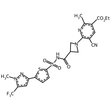 CCOC(=O)c1cc(C#N)c(N2CC(C(=O)NS(=O)(=O)c3ccc(-c4cc(C(F)(F)F)n(C)n4)s3)C2)nc1C